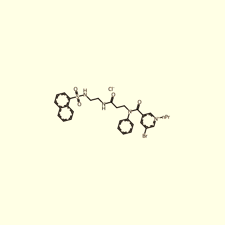 CCC[n+]1cc(Br)cc(C(=O)N(CCC(=O)NCCNS(=O)(=O)c2cccc3ccccc23)c2ccccc2)c1.[Cl-]